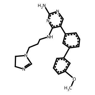 COc1cccc(-c2cccc(-c3cnc(N)nc3NCCCN3C=NCC3)c2)c1